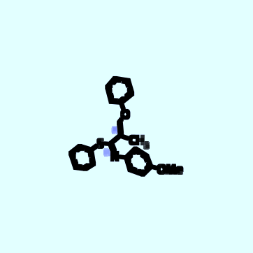 COc1ccc(/N=C(Sc2ccccc2)\C(C)=C\Oc2ccccc2)cc1